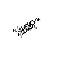 CC(=O)[C@@]1(O)[C@@H](C)C[C@H]2[C@@H]3CC=C4C[C@@H](O)CC[C@]4(C)[C@H]3CC[C@@]21C